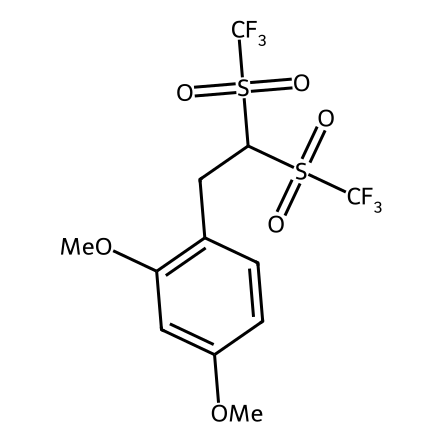 COc1ccc(CC(S(=O)(=O)C(F)(F)F)S(=O)(=O)C(F)(F)F)c(OC)c1